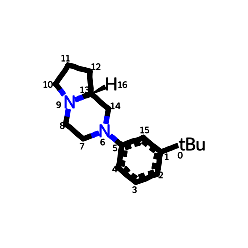 CC(C)(C)c1cccc(N2CCN3CCC[C@@H]3C2)c1